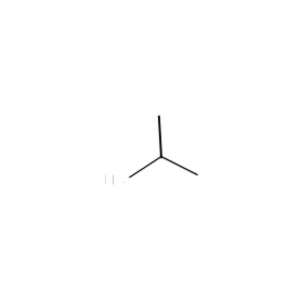 CC(C)[SiH]